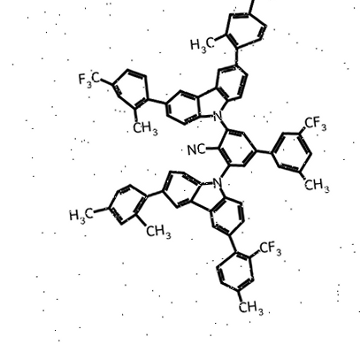 Cc1cc(-c2cc(-n3c4ccc(-c5ccc(C(F)(F)F)cc5C)cc4c4cc(-c5ccc(C(F)(F)F)cc5C)ccc43)c(C#N)c(-n3c4ccc(-c5ccc(C)cc5C)cc4c4cc(-c5ccc(C)cc5C(F)(F)F)ccc43)c2)cc(C(F)(F)F)c1